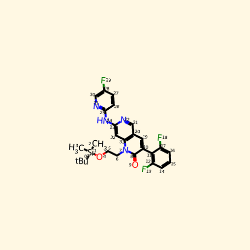 CC(C)(C)[Si](C)(C)OCCn1c(=O)c(-c2c(F)cccc2F)cc2cnc(Nc3ccc(F)cn3)cc21